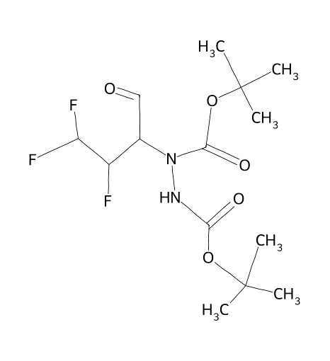 CC(C)(C)OC(=O)NN(C(=O)OC(C)(C)C)C(C=O)C(F)C(F)F